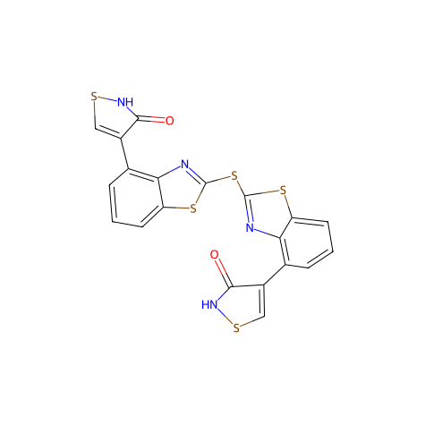 O=c1[nH]scc1-c1cccc2sc(Sc3nc4c(-c5cs[nH]c5=O)cccc4s3)nc12